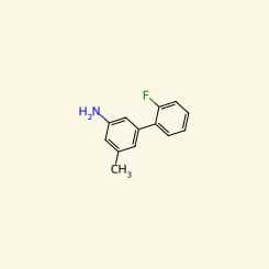 Cc1cc(N)cc(-c2ccccc2F)c1